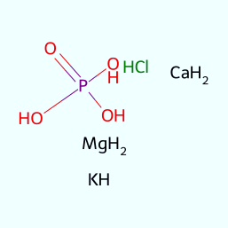 Cl.O=P(O)(O)O.[CaH2].[KH].[MgH2]